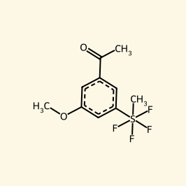 COc1cc(C(C)=O)cc(S(C)(F)(F)(F)F)c1